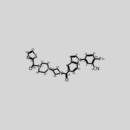 N#Cc1cc(-n2ccc3cc(C(=O)N4CC(N5CCN(C(=O)c6nccs6)CC5)C4)ccc32)ccc1F